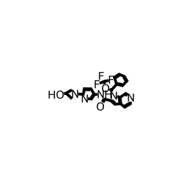 O=C(Nc1ccc(N2CC(O)C2)nc1)c1cc2ccncc2n1C(OC(F)(F)F)c1ccccc1